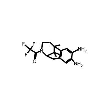 CC12CCN(C(=O)C(F)(F)F)C(Cc3cc(N)c(N)cc31)C2(C)C